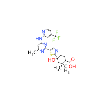 Cc1cc(Nc2cc(C(F)(F)F)ccn2)nc(-c2cnc(C3(O)CCC(C(=O)O)C(C)(C)C3)s2)n1